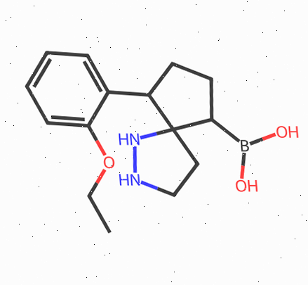 CCOc1ccccc1C1CCC(B(O)O)C12CCNN2